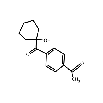 CC(=O)c1ccc(C(=O)C2(O)CCCCC2)cc1